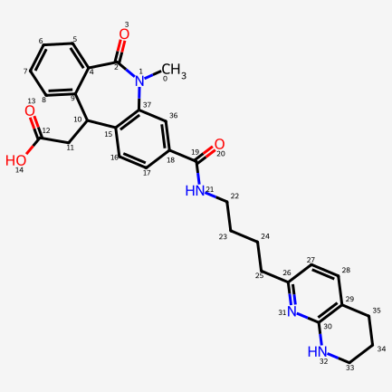 CN1C(=O)c2ccccc2C(CC(=O)O)c2ccc(C(=O)NCCCCc3ccc4c(n3)NCCC4)cc21